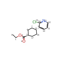 CCOC(=O)[C@H]1CC[C@H](c2cccnc2Cl)CC1